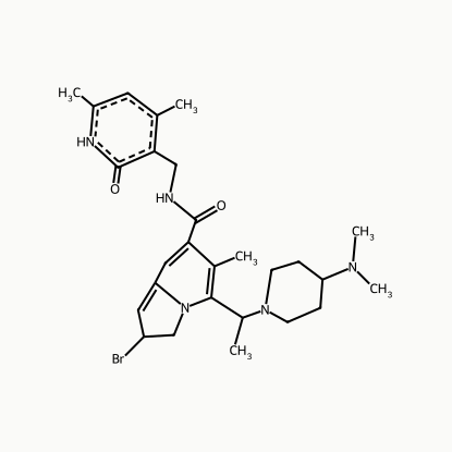 CC1=C(C(C)N2CCC(N(C)C)CC2)N2CC(Br)C=C2C=C1C(=O)NCc1c(C)cc(C)[nH]c1=O